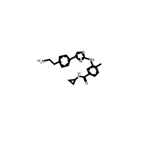 Cc1ccc(C(=O)NC2CC2)cc1Nc1nc(-c2ccc(CCN)cc2)cs1